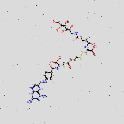 C[C@@H](CCC(=O)NC[C@H](O)[C@@H](O)[C@H](O)[C@H](O)CO)C(=O)N[C@@H](CSSCCOC(=O)CC[C@H](NC(=O)c1ccc(NCc2cnc3nc(N)nc(N)c3n2)cc1)C(=O)O)C(=O)O